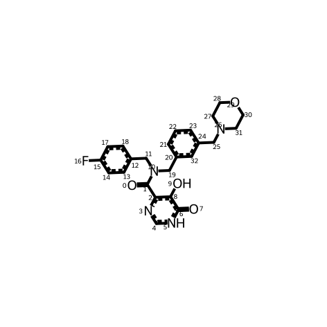 O=C(c1nc[nH]c(=O)c1O)N(Cc1ccc(F)cc1)Cc1cccc(CN2CCOCC2)c1